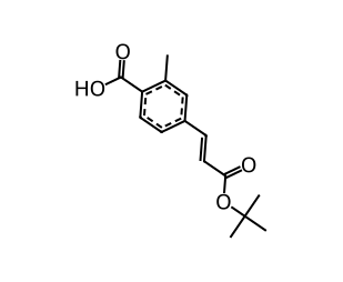 Cc1cc(C=CC(=O)OC(C)(C)C)ccc1C(=O)O